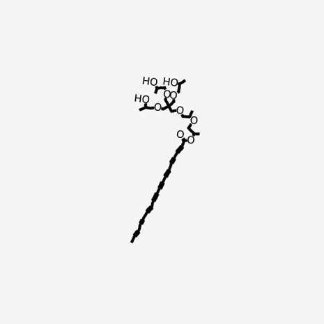 CC#CC#CC#CC#CC#CC#CC#CC#CC(=O)OC(C)COC(C)COCC(COCC(C)O)(COCC(C)O)COCC(C)O